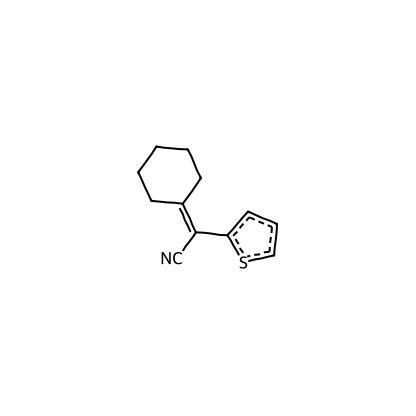 N#CC(=C1CCCCC1)c1cccs1